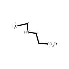 CCOC(=O)CCNCC(F)(F)F